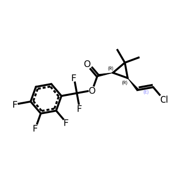 CC1(C)[C@H](C(=O)OC(F)(F)c2ccc(F)c(F)c2F)[C@@H]1/C=C/Cl